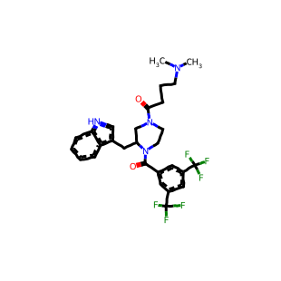 CN(C)CCCC(=O)N1CCN(C(=O)c2cc(C(F)(F)F)cc(C(F)(F)F)c2)C(Cc2c[nH]c3ccccc23)C1